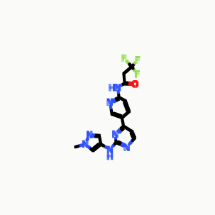 Cn1cc(Nc2nccc(-c3ccc(NC(=O)CC(F)(F)F)nc3)n2)cn1